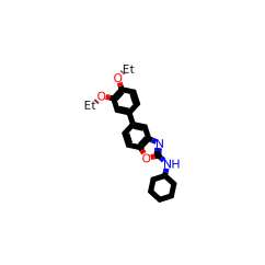 CCOc1ccc(-c2ccc3oc(NC4CCCCC4)nc3c2)cc1OCC